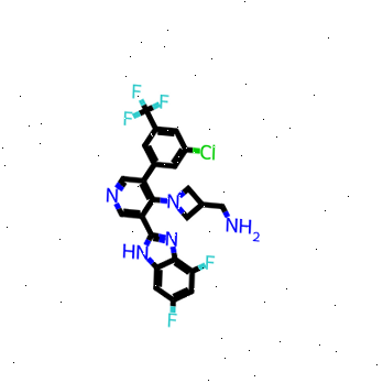 NCC1CN(c2c(-c3cc(Cl)cc(C(F)(F)F)c3)cncc2-c2nc3c(F)cc(F)cc3[nH]2)C1